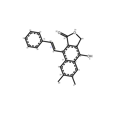 Cc1cc2c(O)c3c(c(/C=C/c4ccccc4)c2cc1C)C(=O)OC3